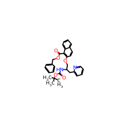 CC(C)(C)OC(=O)NC(COc1ccc2ccccc2c1C(=O)OCc1ccccc1)Cc1ccccn1